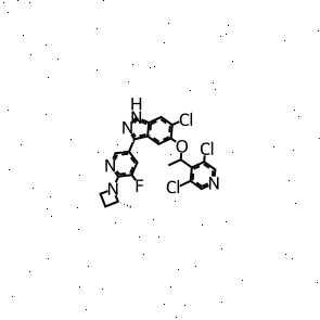 CC(Oc1cc2c(-c3cnc(N4CC[C@H]4C)c(F)c3)n[nH]c2cc1Cl)c1c(Cl)cncc1Cl